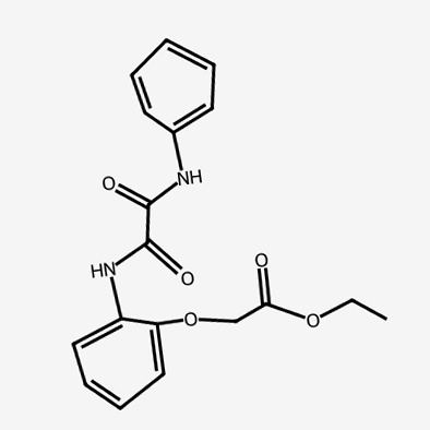 CCOC(=O)COc1ccccc1NC(=O)C(=O)Nc1ccccc1